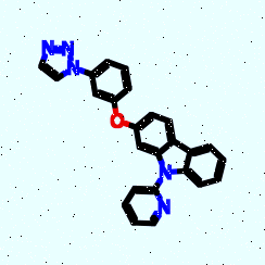 c1ccc(-n2c3ccccc3c3ccc(Oc4cccc(-n5ccnn5)c4)cc32)nc1